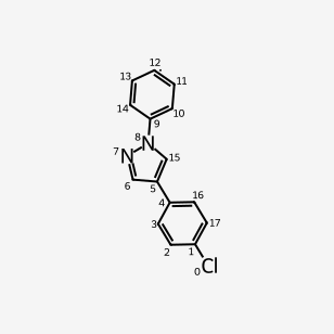 Clc1ccc(-c2cnn(-c3cc[c]cc3)c2)cc1